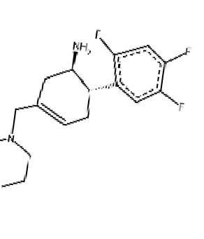 CC(=O)N1CCN(CC2=CC[C@@H](c3cc(F)c(F)cc3F)[C@H](N)C2)CC1